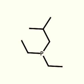 CCP(CC)CC(C)C